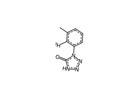 [3H]c1c(C)cccc1-n1nn[nH]c1=O